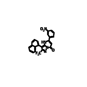 O=c1cc(-c2cccc([N+](=O)[O-])c2)[nH]c2c(-c3cccc4ccccc34)c(C(F)(F)F)nn12